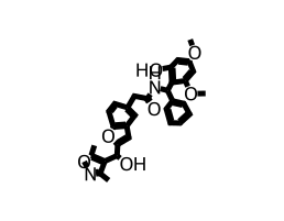 COc1cc(O)c(C(NC(=O)Cc2ccc3oc(C(O)c4c(C)noc4C)cc3c2)c2ccccc2)c(OC)c1